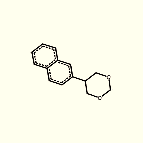 [c]1ccc2cc(C3CO[CH]OC3)ccc2c1